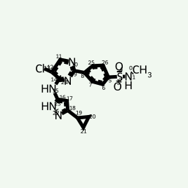 CNS(=O)(=O)c1ccc(-c2ncc(Cl)c(Nc3cc(C4CC4)n[nH]3)n2)cc1